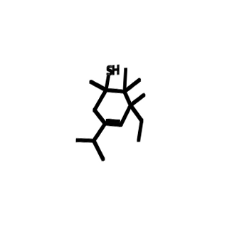 CCC1(C)C=C(C(C)C)CC(C)(S)C1(C)C